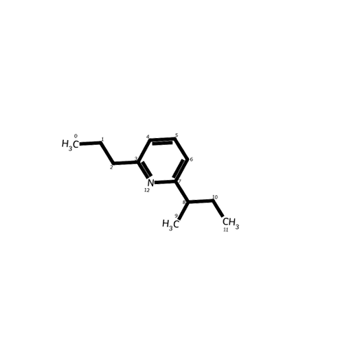 CCCc1cccc(C(C)CC)n1